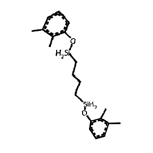 Cc1cccc(O[SiH2]CCCC[SiH2]Oc2cccc(C)c2C)c1C